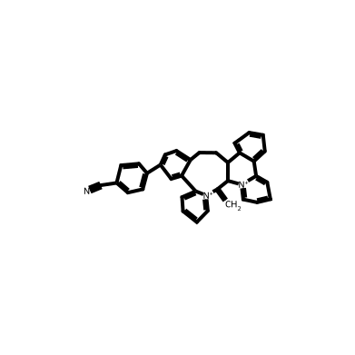 C=C1C2C(CCc3ccc(-c4ccc(C#N)cc4)cc3-c3cccc[n+]31)c1ccccc1-c1cccc[n+]12